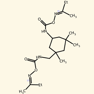 CC/C(C)=N\OC(=O)NCC1(C)CC(NC(=O)O/N=C(\C)CC)CC(C)(C)C1